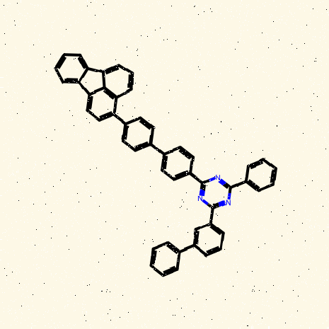 c1ccc(-c2cccc(-c3nc(-c4ccccc4)nc(-c4ccc(-c5ccc(-c6ccc7c8c(cccc68)-c6ccccc6-7)cc5)cc4)n3)c2)cc1